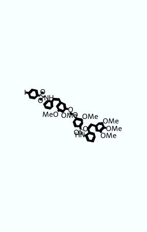 COc1cc(S(=O)(=O)Nc2ccccc2/C=C\c2cc(OC)c(OC)c(OC)c2)ccc1OCOc1cc(/C=C\c2ccccc2NS(=O)(=O)c2ccc(I)cc2)cc(OC)c1OC